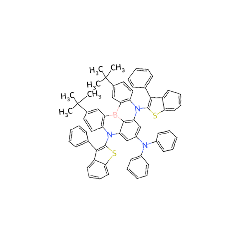 CC(C)(C)c1ccc2c(c1)B1c3cc(C(C)(C)C)ccc3N(c3sc4ccccc4c3-c3ccccc3)c3cc(N(c4ccccc4)c4ccccc4)cc(c31)N2c1sc2ccccc2c1-c1ccccc1